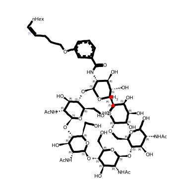 CCCCCC/C=C\CCCOc1cccc(C(=O)N[C@H]2[C@H](O[C@H]3[C@H](O)[C@@H](NC(C)=O)[C@H](O[C@H]4[C@H](O)[C@@H](NC(C)=O)[C@H](O[C@H]5[C@H](O)[C@@H](NC(C)=O)[C@H](O[C@H]6[C@H](O)[C@@H](NC(C)=O)C(O)O[C@@H]6CO[C@@H]6O[C@@H](C)[C@@H](O)[C@@H](O)[C@@H]6O)O[C@@H]5CO)O[C@@H]4CO)O[C@@H]3CO)O[C@H](CO)[C@@H](O)[C@@H]2O)c1